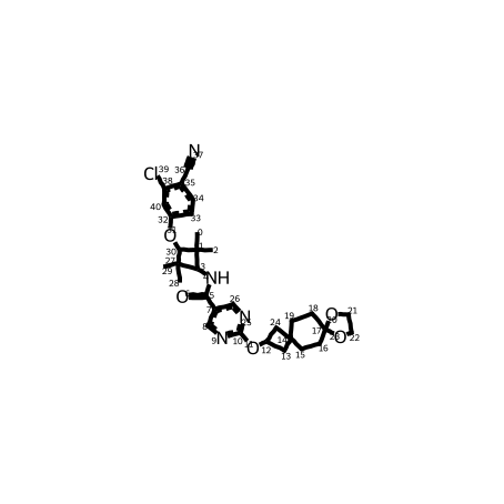 CC1(C)C(NC(=O)c2cnc(OC3CC4(CCC5(CC4)OCCO5)C3)nc2)C(C)(C)C1Oc1ccc(C#N)c(Cl)c1